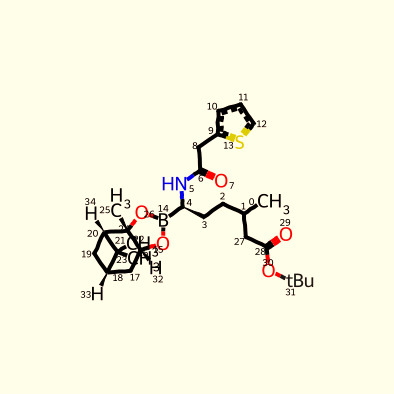 CC(CC[C@H](NC(=O)Cc1cccs1)B1O[C@@H]2C[C@@H]3C[C@@H](C3(C)C)[C@]2(C)O1)CC(=O)OC(C)(C)C